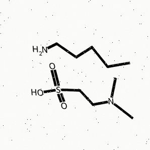 CCCCCN.CN(C)CCS(=O)(=O)O